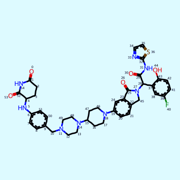 O=C1CCC(Nc2ccc(CN3CCN(C4CCN(c5ccc6c(c5)C(=O)N(C(C(=O)Nc5nccs5)c5cc(F)ccc5O)C6)CC4)CC3)cc2)C(=O)N1